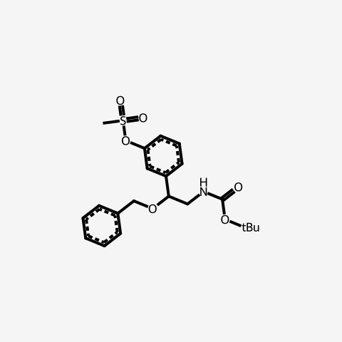 CC(C)(C)OC(=O)NCC(OCc1ccccc1)c1cccc(OS(C)(=O)=O)c1